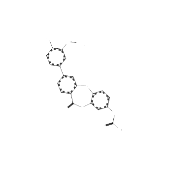 COc1cc(-c2ccc3c(c2)Nc2ccc(OC(=O)O)cc2NC3=O)ccc1O